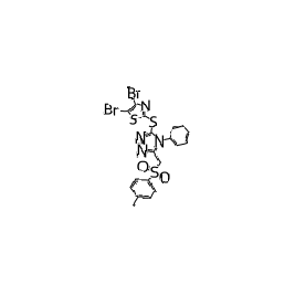 Cc1ccc(S(=O)(=O)Cc2nnc(Sc3nc(Br)c(Br)s3)n2-c2ccccc2)cc1